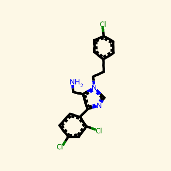 NCc1c(-c2ccc(Cl)cc2Cl)ncn1CCc1ccc(Cl)cc1